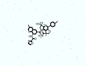 Cc1cnc2c(NC(=O)c3ncco3)cc(C(=O)NC[C@](O)(c3cc4c(c(-c5ccc(F)cc5)n3)OC[C@]4(C)C(N)=O)C(F)(F)F)cc2c1